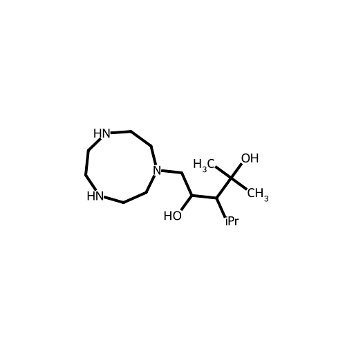 CC(C)C(C(O)CN1CCNCCNCC1)C(C)(C)O